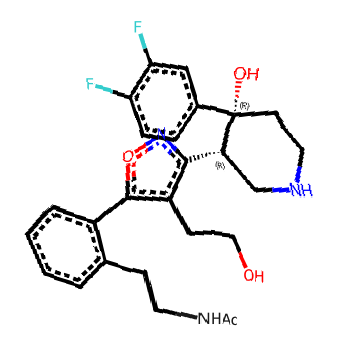 CC(=O)NCCc1ccccc1-c1onc([C@H]2CNCC[C@]2(O)c2ccc(F)c(F)c2)c1CCO